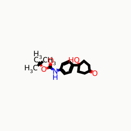 CC(C)(C)OC(=O)Nc1ccc(C2(O)CCC(=O)CC2)cc1